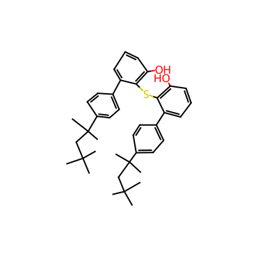 CC(C)(C)CC(C)(C)c1ccc(-c2cccc(O)c2Sc2c(O)cccc2-c2ccc(C(C)(C)CC(C)(C)C)cc2)cc1